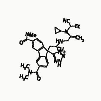 C=C(CN[C@H](C)CC1(c2nn[nH]n2)c2ccc(C(=O)NC)cc2-c2cc(C(=O)N(C)C)ccc21)N(C(C#N)CC)C1CC1